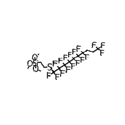 CO[Si](CCSC(F)(F)C(F)(F)C(F)(F)C(F)(F)C(F)(F)C(F)(F)C(F)(F)CCC(F)(F)F)(OC)OC